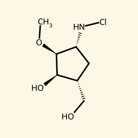 CO[C@@H]1[C@H](O)[C@@H](CO)C[C@H]1NCl